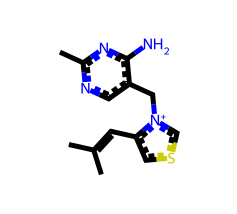 CC(C)=Cc1csc[n+]1Cc1cnc(C)nc1N